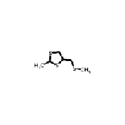 CSCC1CS[C](C)S1